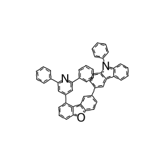 c1ccc(-c2cc(-c3cccc4oc5ccc(-c6ccc7c(c6)c6ccccc6n7-c6ccccc6)cc5c34)cc(-c3ccccc3)n2)cc1